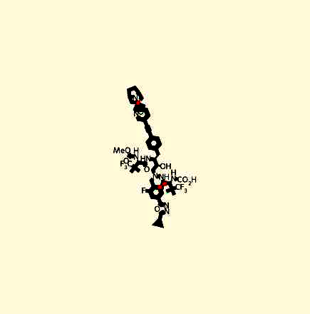 COC(=O)N[C@H](C(=O)N[C@@H](Cc1ccc(C#Cc2ccc(N3CC4CCC(C3)N4C3COC3)nc2)cc1)[C@@H](O)CN(Cc1c(F)cc(-c2nnc(C3CC3)o2)cc1F)NC(=O)[C@@H](NC(=O)O)C(C)(C)C(F)(F)F)C(C)(C)C(F)(F)F